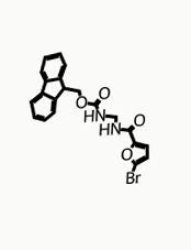 O=C(NCNC(=O)c1ccc(Br)o1)OCC1c2ccccc2-c2ccccc21